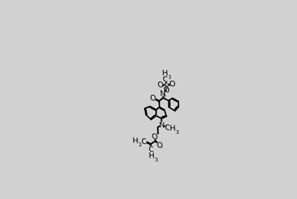 C=C(C)C(=O)OCCN(C)c1ccc(C(=O)/C(=N/OS(C)(=O)=O)c2ccccc2)c2ccccc12